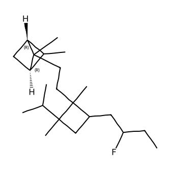 CCC(F)CC1CC(C)(C(C)C)C1(C)CCC1(C)[C@@H]2C[C@@H]1C2C